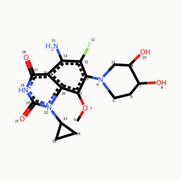 COc1c(N2CCC(O)C(O)C2)c(F)c(N)c2c(=O)[nH]c(=O)n(C3CC3)c12